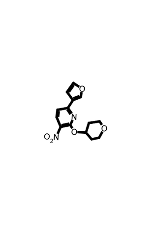 O=[N+]([O-])c1ccc(-c2ccoc2)nc1OC1CCOCC1